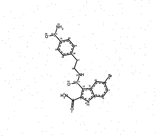 NC(=O)c1[nH]c2ccc(Br)cc2c1[S+]([O-])NCCc1ccc([S+](N)[O-])cc1